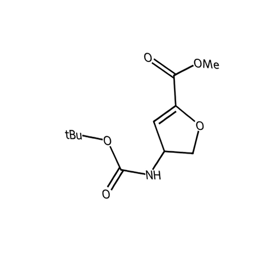 COC(=O)C1=CC(NC(=O)OC(C)(C)C)CO1